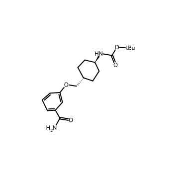 CC(C)(C)OC(=O)N[C@H]1CC[C@H](COc2cccc(C(N)=O)c2)CC1